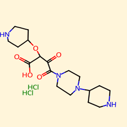 Cl.Cl.O=C(O)C(OC1CCNCC1)C(=O)C(=O)N1CCN(C2CCNCC2)CC1